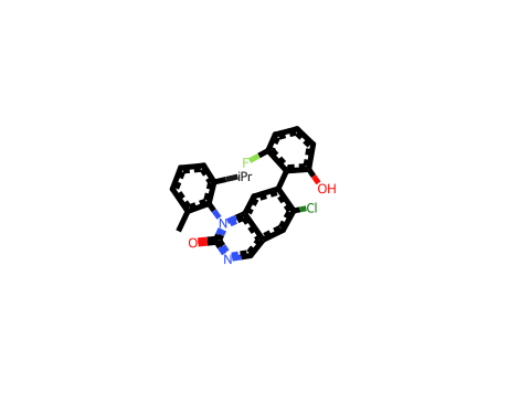 Cc1cccc(C(C)C)c1-n1c(=O)ncc2cc(Cl)c(-c3c(O)cccc3F)cc21